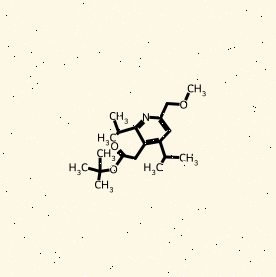 COCc1cc(C(C)C)c(CC(=O)OC(C)(C)C)c(C(C)C)n1